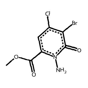 COC(=O)c1cc(Cl)c(Br)c(=O)n1N